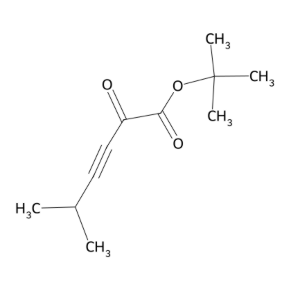 CC(C)C#CC(=O)C(=O)OC(C)(C)C